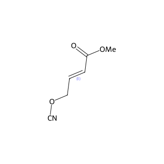 COC(=O)/C=C/COC#N